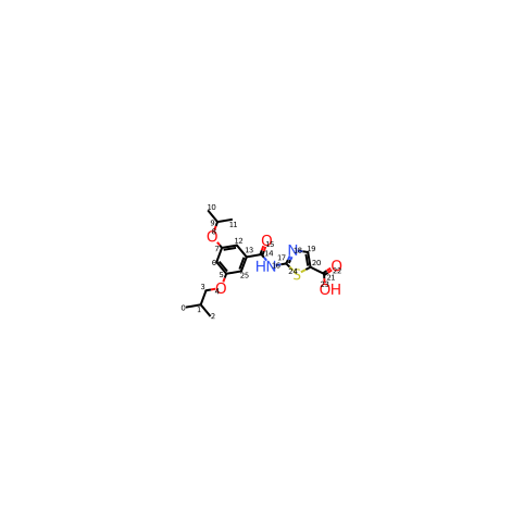 CC(C)COc1cc(OC(C)C)cc(C(=O)Nc2ncc(C(=O)O)s2)c1